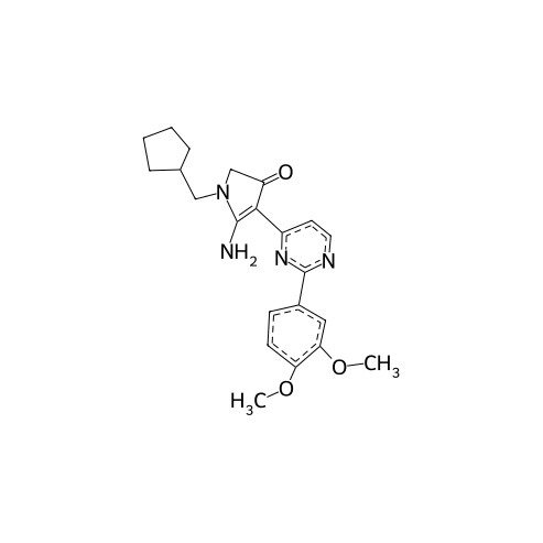 COc1ccc(-c2nccc(C3=C(N)N(CC4CCCC4)CC3=O)n2)cc1OC